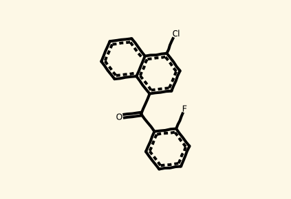 O=C(c1ccccc1F)c1ccc(Cl)c2ccccc12